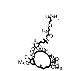 COc1cc2cc(c1Cl)N(C)C(=O)C[C@H](OC(=O)[C@H](C)N(C)C(=O)CCC(C)(C)SCC(=O)NCCOCCC(N)=O)[C@]1(C)O[C@H]1[C@H](C)[C@@H]1C[C@@](O)(NC(=O)O1)[C@H](OC)/C=C/C=C(\C)C2